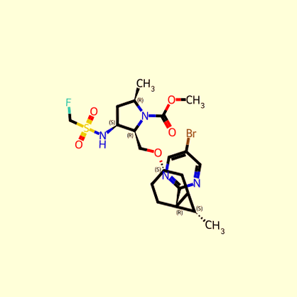 COC(=O)N1[C@H](C)C[C@H](NS(=O)(=O)CF)[C@@H]1CO[C@H]1CC[C@]2(c3ncc(Br)cn3)C(C1)[C@@H]2C